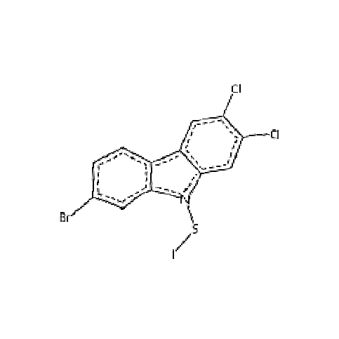 Clc1cc2c3ccc(Br)cc3n(SI)c2cc1Cl